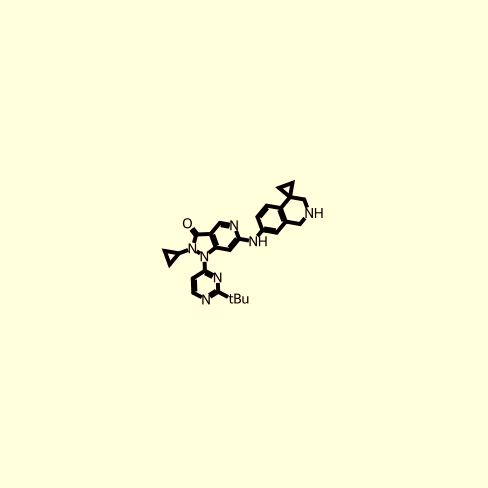 CC(C)(C)c1nccc(-n2c3cc(Nc4ccc5c(c4)CNCC54CC4)ncc3c(=O)n2C2CC2)n1